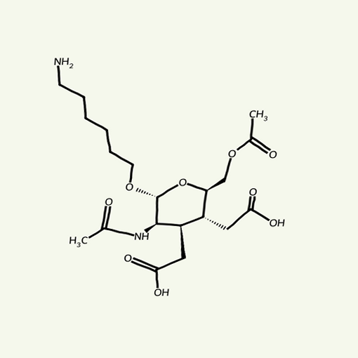 CC(=O)N[C@H]1[C@H](OCCCCCCN)O[C@@H](COC(C)=O)[C@H](CC(=O)O)[C@H]1CC(=O)O